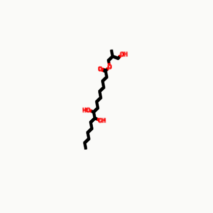 CCCCCCC(O)C(O)CCCCCCCC(=O)OCC(C)CO